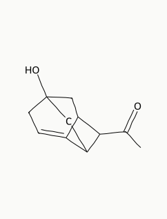 CC(=O)C1C2CC3(O)CC=C2C1C3